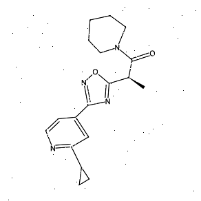 C[C@H](C(=O)N1CCCCC1)c1nc(-c2ccnc(C3CC3)c2)no1